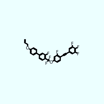 C=CCOc1ccc(-c2ccc(C(F)(F)Oc3ccc(C#Cc4cc(F)c(F)c(F)c4)c(F)c3)c(F)c2)cc1